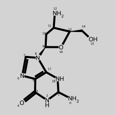 NC1NC(=O)c2ncn([C@H]3CC(N)[C@@H](CO)O3)c2N1